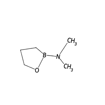 CN(C)B1CCCO1